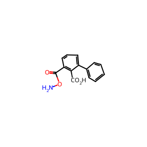 NOC(=O)c1cccc(-c2ccccc2)c1C(=O)O